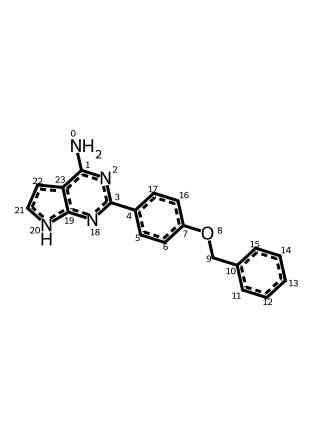 Nc1nc(-c2ccc(OCc3ccccc3)cc2)nc2[nH]ccc12